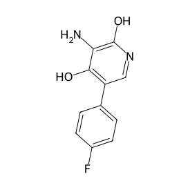 Nc1c(O)ncc(-c2ccc(F)cc2)c1O